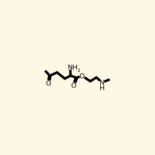 CNCCOC(=O)C(N)CCC(C)=O